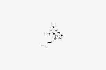 CCC(=O)ON(CS(=O)(=O)OCOCCO)C(=O)OC(C)(C)C